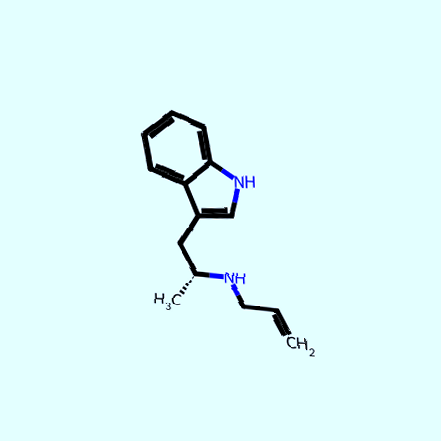 C=CCN[C@H](C)Cc1c[nH]c2ccccc12